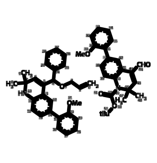 C=CCOC(C1=CC(C)(C)Nc2ccc(-c3ccccc3OC)cc21)c1ccccc1.COc1ccccc1-c1ccc2c(c1)C(C=O)=CC(C)(C)N2C(=O)OC(C)(C)C